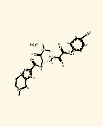 CN1CCc2nc(C(=O)N[C@@H](CNC(=O)C(=O)Nc3ccc(Br)cc3)C(=O)N(C)C)sc2C1.Cl